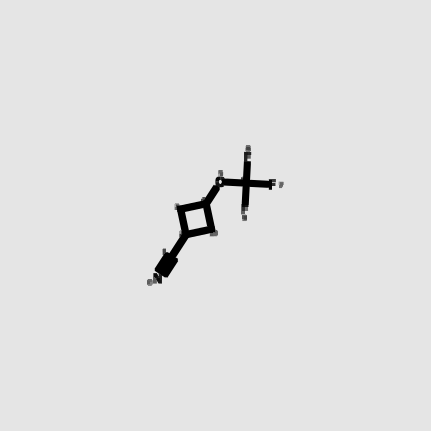 N#CC1CC(OC(F)(F)F)C1